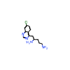 NCCCC(N)Cc1ncnc2cc(Cl)ccc12